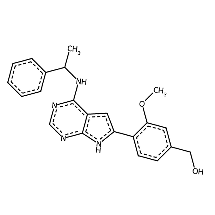 COc1cc(CO)ccc1-c1cc2c(NC(C)c3ccccc3)ncnc2[nH]1